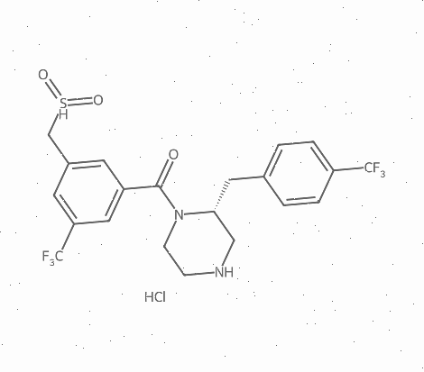 Cl.O=C(c1cc(C[SH](=O)=O)cc(C(F)(F)F)c1)N1CCNC[C@H]1Cc1ccc(C(F)(F)F)cc1